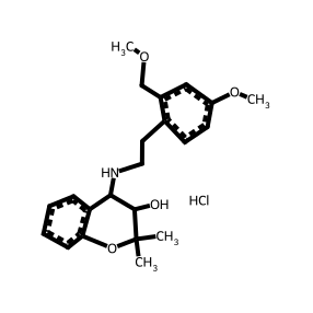 COCc1cc(OC)ccc1CCNC1c2ccccc2OC(C)(C)C1O.Cl